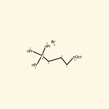 CCCCCCCCCCC[P+](CCC)(CCC)CCC.[Br-]